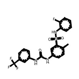 Cc1ccc(NC(=O)Nc2cccc(C(F)(F)F)c2)cc1S(=O)(=O)Nc1ccccc1F